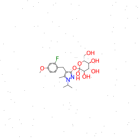 COc1ccc(Cc2c(O[C@]3(O)O[C@H](CO)[C@@H](O)[C@H](O)[C@H]3O)nn(C(C)C)c2C)c(F)c1